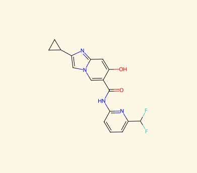 O=C(Nc1cccc(C(F)F)n1)c1cn2cc(C3CC3)nc2cc1O